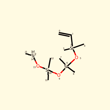 C=C[Si](C)(C)O[Si](C)(C)O[Si](C)(C)O[SiH2]C